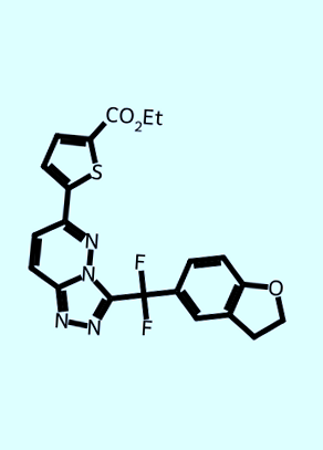 CCOC(=O)c1ccc(-c2ccc3nnc(C(F)(F)c4ccc5c(c4)CCO5)n3n2)s1